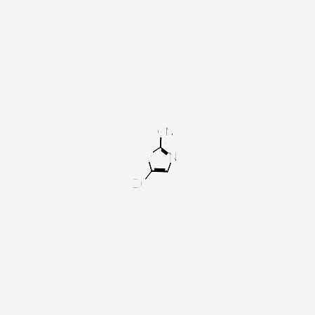 CCc1cnc(C#N)o1